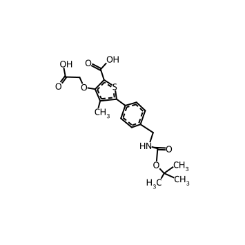 Cc1c(-c2ccc(CNC(=O)OC(C)(C)C)cc2)sc(C(=O)O)c1OCC(=O)O